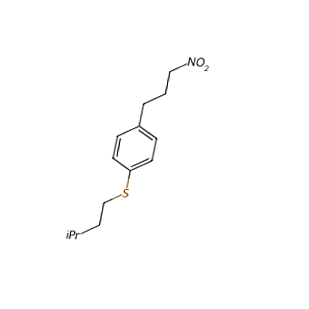 CC(C)CCSc1ccc(CCC[N+](=O)[O-])cc1